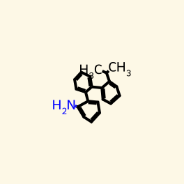 CC(C)c1ccccc1-c1ccccc1-c1ccccc1N